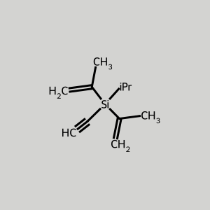 C#C[Si](C(=C)C)(C(=C)C)C(C)C